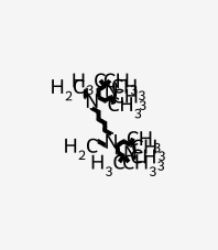 C=CCN(CCCCCCN(CC=C)C1CC(C)(C)N(C)C(C)(C)C1)C1CC(C)(C)N(C)C(C)(C)C1